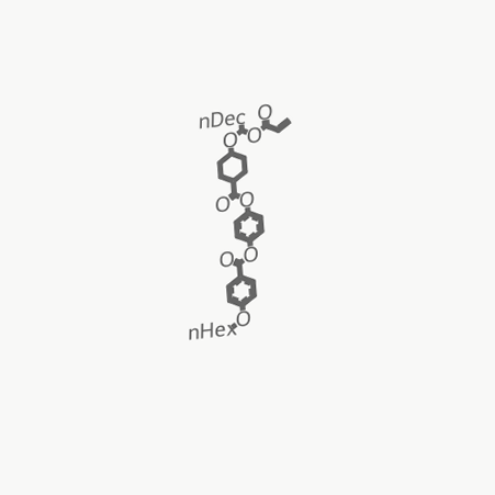 C=CC(=O)OC(CCCCCCCCCC)OC1CCC(C(=O)Oc2ccc(OC(=O)c3ccc(OCCCCCC)cc3)cc2)CC1